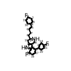 Fc1ccc(/C=C/CCC2Cc3[nH]c4c(F)ccc(-c5ccc(F)cc5)c4c3CN2)cc1